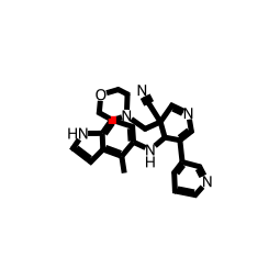 Cc1c(NC2C(c3cccnc3)=CN=CC2(C#N)CN2CCOCC2)ccc2[nH]ccc12